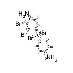 Nc1ccc(C(Br)(Br)c2ccc(N)c(Br)c2Br)cc1